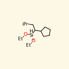 CCO[SiH](OCC)C(CC(C)C)C1CCCC1